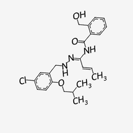 C/C=C/C(=N\NCc1cc(Cl)ccc1OCC(C)C)NC(=O)c1ccccc1CO